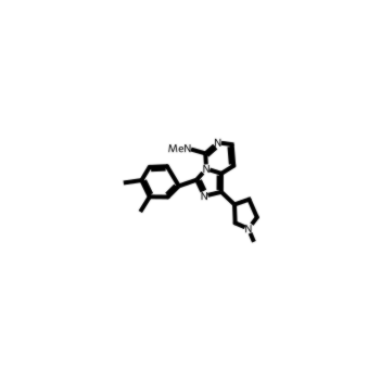 CNc1nccc2c(C3CCN(C)C3)nc(-c3ccc(C)c(C)c3)n12